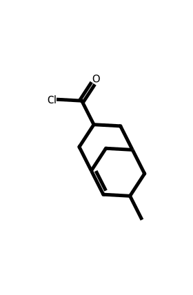 CC1C=C2CC(C1)CC(C(=O)Cl)C2